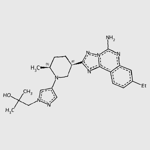 CCc1ccc2c(c1)nc(N)n1nc([C@@H]3CC[C@H](C)N(c4cnn(CC(C)(C)O)c4)C3)nc21